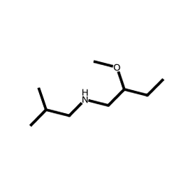 CCC(CNCC(C)C)OC